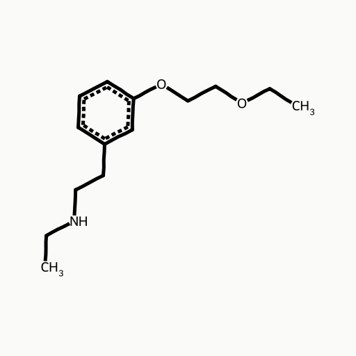 CCNCCc1cccc(OCCOCC)c1